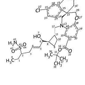 CCC(C/C=C/C(O)[C@@H]1CC[C@H]1CN1C[C@@]2(CCCc3cc(Cl)ccc32)COc2ccc(C(=O)OC(C)(C)C)cc21)S(N)(=O)=O